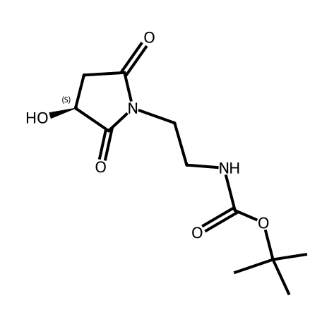 CC(C)(C)OC(=O)NCCN1C(=O)C[C@H](O)C1=O